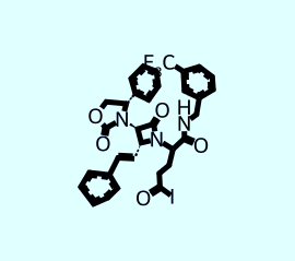 O=C(I)CCC(C(=O)NCc1cccc(C(F)(F)F)c1)N1C(=O)[C@@H](N2C(=O)OC[C@@H]2c2ccccc2)[C@H]1/C=C/c1ccccc1